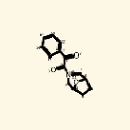 O=C(C(=O)N1CC2CCC(C1)O2)c1ccccc1